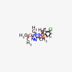 CCn1c(OC(C)C)nnc1[C@@H](C)NS(=O)(=O)c1cccc(Cl)c1C